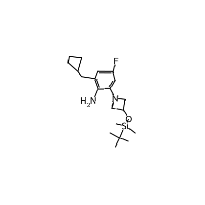 CC(C)(C)[Si](C)(C)OC1CN(c2cc(F)cc(CC3CCC3)c2N)C1